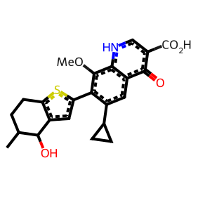 COc1c(-c2cc3c(s2)CCC(C)C3O)c(C2CC2)cc2c(=O)c(C(=O)O)c[nH]c12